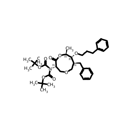 C[C@@H]1OC(=O)[C@@H](N(C(=O)OC(C)(C)C)C(=O)OC(C)(C)C)COC[C@H](Cc2ccccc2)[C@H]1OCCCc1ccccc1